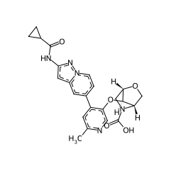 Cc1cc(-c2ccn3nc(NC(=O)C4CC4)cc3c2)c(O[C@H]2[C@@H]3CN(C(=O)O)[C@H]2CO3)cn1